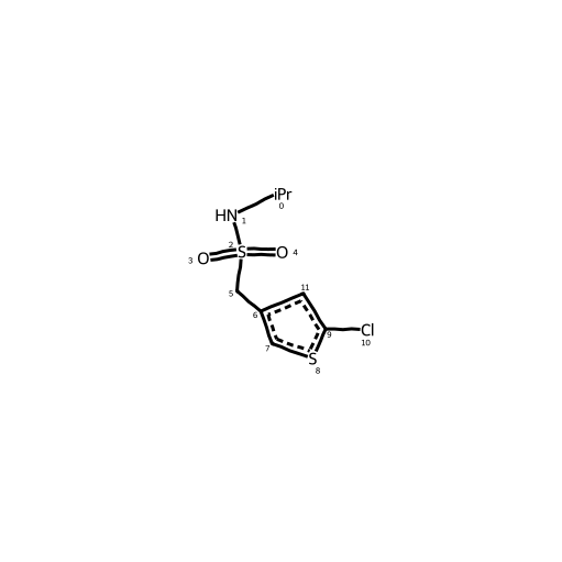 CC(C)NS(=O)(=O)Cc1csc(Cl)c1